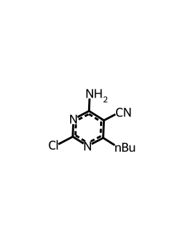 CCCCc1nc(Cl)nc(N)c1C#N